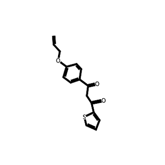 C=CCOc1ccc(C(=O)CC(=O)c2cccs2)cc1